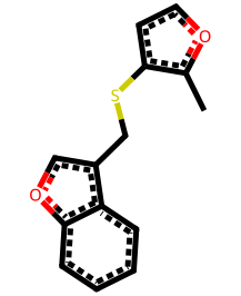 Cc1occc1SCc1coc2ccccc12